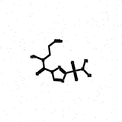 CCCN(CCOC)C(=O)n1cnc(S(=O)(=O)N(CC)CC)n1